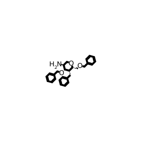 N[C@H]1CO[C@H](COCc2ccccc2)[C@H](Cc2ccccc2)[C@@H]1OCc1ccccc1